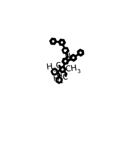 C=Cc1c(C)c(-c2ccc3c(c2)c2ccc(-c4ccccc4)cc2n3C2=CC=C(c3cccc(-c4ccccc4)c3)CC2)c(C)c2c1N(C1=CC=CCC1)C21CCCCC1